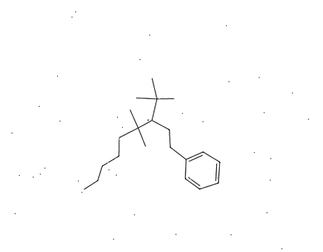 CCCCCC(C)(C)[C](CCc1ccccc1)C(C)(C)C